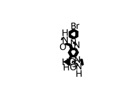 CNC(=O)c1c2cc(C3CC3)c(N3CCNS3(O)O)cc2nn1-c1ccc(Br)cc1